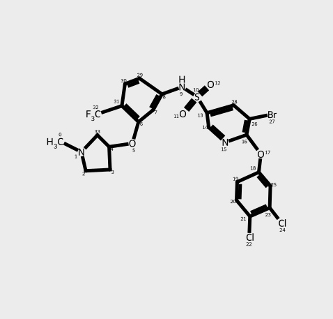 CN1CCC(Oc2cc(NS(=O)(=O)c3cnc(Oc4ccc(Cl)c(Cl)c4)c(Br)c3)ccc2C(F)(F)F)C1